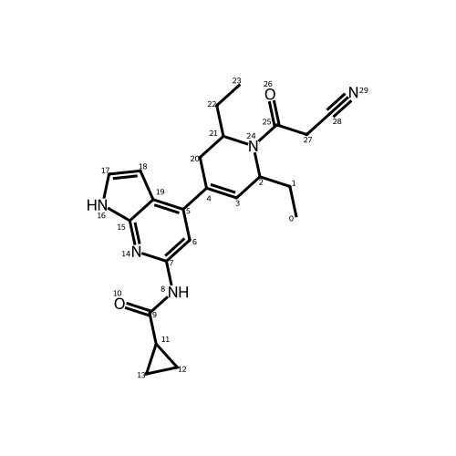 CCC1C=C(c2cc(NC(=O)C3CC3)nc3[nH]ccc23)CC(CC)N1C(=O)CC#N